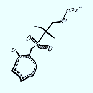 CC(C)(CNC(=O)O)S(=O)(=O)c1ccccc1Br